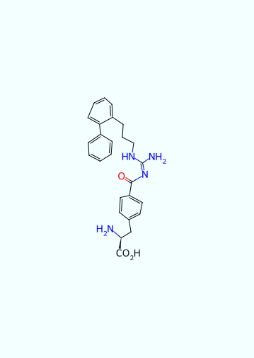 NC(=NC(=O)c1ccc(C[C@H](N)C(=O)O)cc1)NCCCc1ccccc1-c1ccccc1